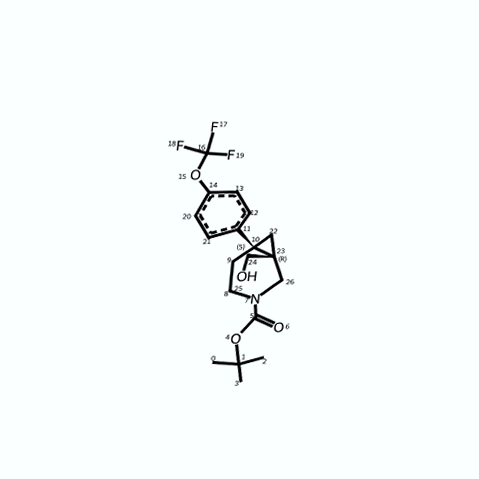 CC(C)(C)OC(=O)N1CC[C@]2(c3ccc(OC(F)(F)F)cc3)C[C@]2(CO)C1